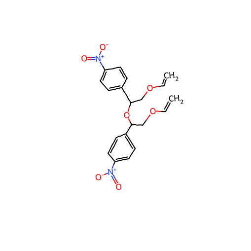 C=COCC(OC(COC=C)c1ccc([N+](=O)[O-])cc1)c1ccc([N+](=O)[O-])cc1